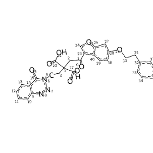 O=C(CC(CCn1nnc2ccccc2c1=O)(C(=O)O)C(=O)O)c1coc2cc(OCCc3ccccc3)ccc12